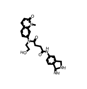 Cn1c(=O)ccc2ccc(N(CCO)C(=O)CCC(=O)Nc3ccc4c(c3)CNC4=N)cc21